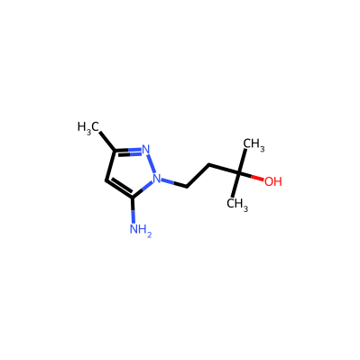 Cc1cc(N)n(CCC(C)(C)O)n1